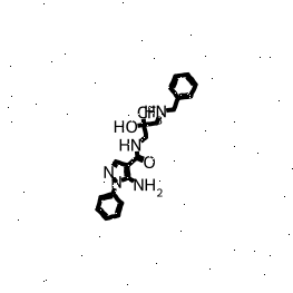 Nc1c(C(=O)NCC(O)(CNCc2ccccc2)C(F)(F)F)cnn1-c1ccccc1